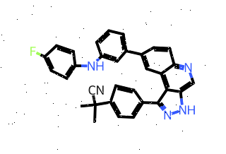 CC(C)(C#N)c1ccc(-c2n[nH]c3cnc4ccc(-c5cccc(Nc6ccc(F)cc6)c5)cc4c23)cc1